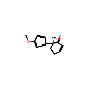 COc1ccc([C@]2(N)CCC=CC2=O)cc1